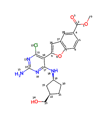 COC(=O)c1ccc2oc(-c3c(Cl)nc(N)nc3N[C@H]3CC[C@@H](CO)C3)cc2c1